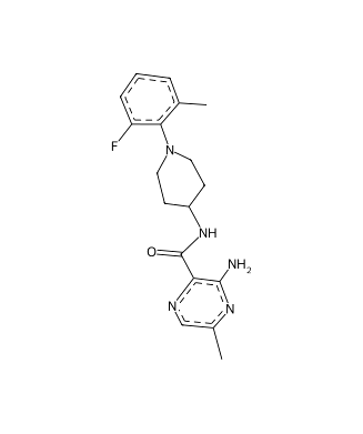 Cc1cnc(C(=O)NC2CCN(c3c(C)cccc3F)CC2)c(N)n1